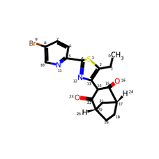 CCc1sc(-c2ccc(Br)cn2)nc1C1C(=O)[C@@H]2CC[C@@H](C2)C1=O